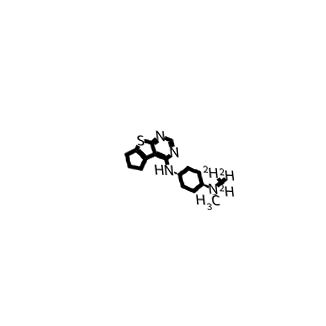 [2H]C([2H])([2H])N(C)[C@H]1CC[C@H](Nc2ncnc3sc4c(c23)CCC4)CC1